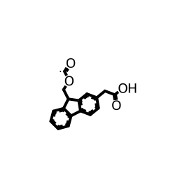 O=[C]OCC1c2ccccc2-c2ccc(CC(=O)O)cc21